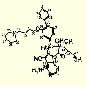 C[C@]1(O)C(n2c(NCc3ccc(-c4ccccc4)c(OCCCCN4CCCCC4)c3)c(C#N)c3c(N)ncnc32)OC(CO)[C@H]1O